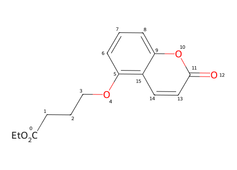 CCOC(=O)CCCOc1cccc2oc(=O)ccc12